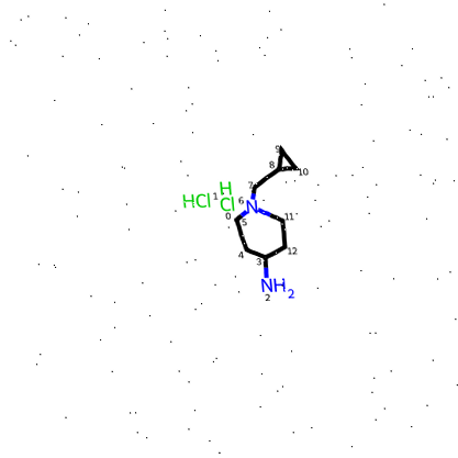 Cl.Cl.NC1CCN(CC2CC2)CC1